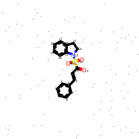 O=C(C=Cc1ccccc1)S(=O)(=O)N1CCc2ccccc21